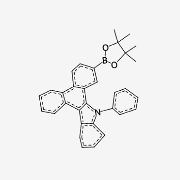 CC1(C)OB(c2ccc3c4ccccc4c4c5ccccc5n(-c5ccccc5)c4c3c2)OC1(C)C